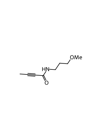 CC#CC(=O)NCCCOC